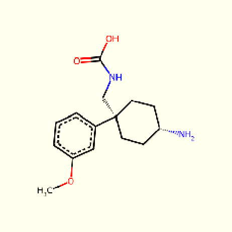 COc1cccc([C@]2(CNC(=O)O)CC[C@@H](N)CC2)c1